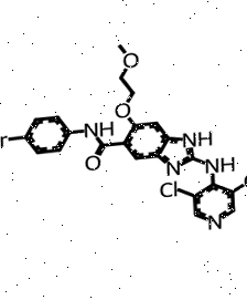 COCCOc1cc2[nH]c(Nc3c(Cl)cncc3Cl)nc2cc1C(=O)Nc1ccc(Br)cc1